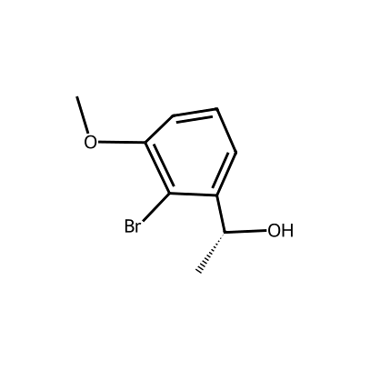 COc1cccc([C@@H](C)O)c1Br